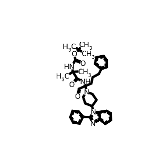 CC(C)(C)OC(=O)NC(C)(C)C(=O)NC(C=O)(CCCc1ccccc1)N1CCC(n2c(-c3ccccc3)nc3ccccc32)CC1